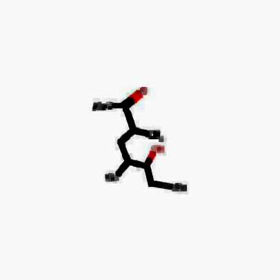 COC(=O)C(C)CC(C(O)CC(C)(C)C)C(C)(C)C